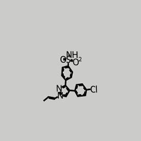 CC=Cn1cc(-c2ccc(Cl)cc2)c(-c2ccc(S(N)(=O)=O)cc2)n1